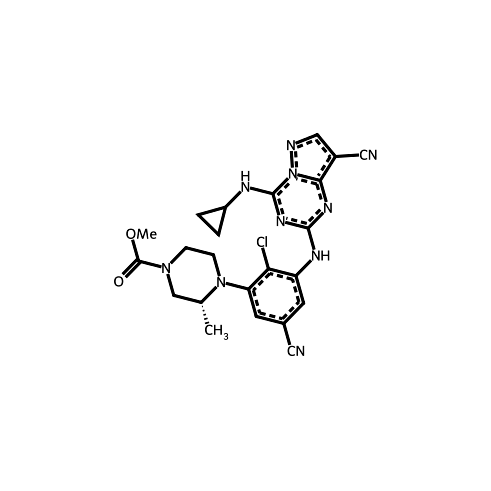 COC(=O)N1CCN(c2cc(C#N)cc(Nc3nc(NC4CC4)n4ncc(C#N)c4n3)c2Cl)[C@H](C)C1